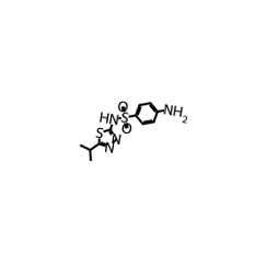 CC(C)c1nnc(NS(=O)(=O)c2ccc(N)cc2)s1